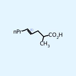 CCC/C=C/CC(C)C(=O)O